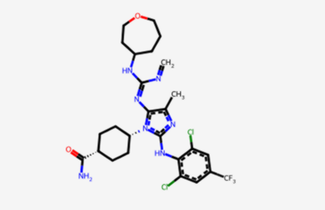 C=N/C(=N\c1c(C)nc(Nc2c(Cl)cc(C(F)(F)F)cc2Cl)n1[C@H]1CC[C@@H](C(N)=O)CC1)NC1CCCOCC1